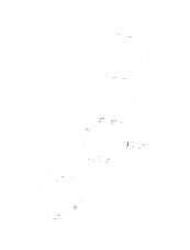 O=c1cc(-c2ccccc2)ncn1CC1CCOCC1